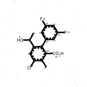 Cc1c(Cl)cc(C(C)O)c(-c2cc(F)cc(F)c2)c1C(=O)O